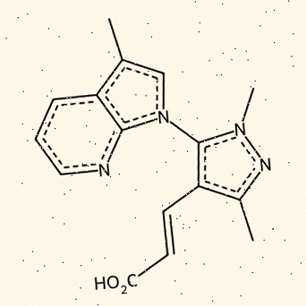 Cc1nn(C)c(-n2cc(C)c3cccnc32)c1C=CC(=O)O